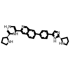 C=C(N/C(=C\N)c1cc2ccc(-c3ccc(-c4cnc([C@@H]5CCCN5)[nH]4)cc3)cc2cn1)[C@@H]1CCCN1